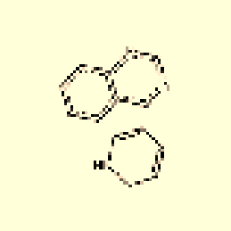 C1=CCNC=C1.c1ccc2ncncc2c1